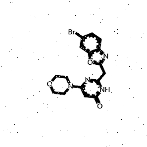 O=c1cc(N2CCOCC2)nc(Cc2nc3ccc(Br)cc3o2)[nH]1